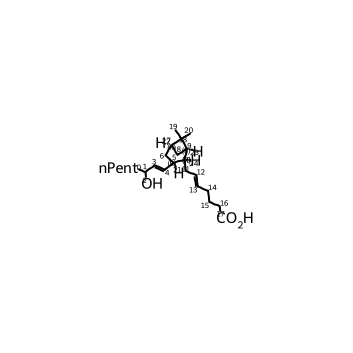 CCCCCC(O)C=C[C@@H]1C[C@@H]2C[C@@H]([C@@H]1CC=CCCCC(=O)O)C2(C)C